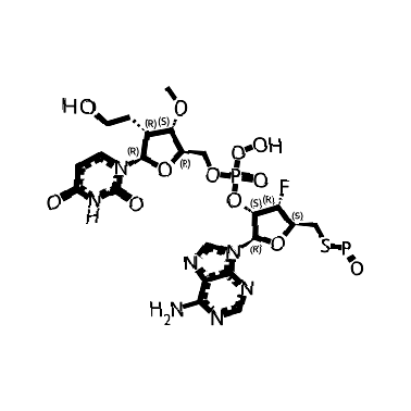 CO[C@H]1[C@@H](CCO)[C@H](n2ccc(=O)[nH]c2=O)O[C@@H]1COP(=O)(OO)O[C@@H]1[C@H](F)[C@@H](CSP=O)O[C@H]1n1cnc2c(N)ncnc21